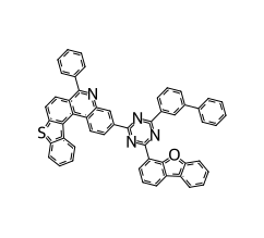 c1ccc(-c2cccc(-c3nc(-c4ccc5c(c4)nc(-c4ccccc4)c4ccc6sc7ccccc7c6c45)nc(-c4cccc5c4oc4ccccc45)n3)c2)cc1